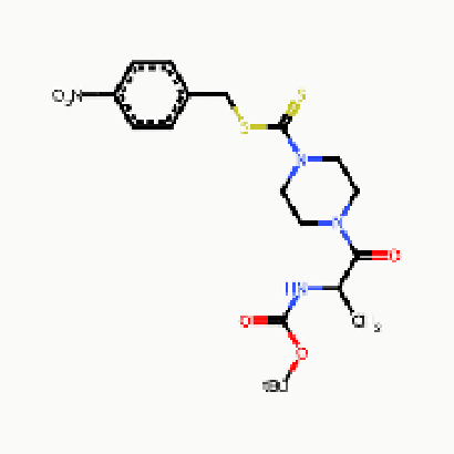 CC(NC(=O)OC(C)(C)C)C(=O)N1CCN(C(=S)SCc2ccc([N+](=O)[O-])cc2)CC1